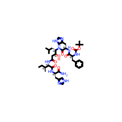 CC[C@H](C)[C@H](NC(=O)C[C@H](O)[C@H](CC(C)C)NC(=O)[C@H](Cc1c[nH]cn1)NC(=O)[C@H](Cc1ccccc1)NC(=O)OC(C)(C)C)C(=O)N[C@@H](Cc1c[nH]cn1)C(N)=O